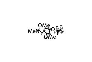 CNCCc1cc(OC)c(OCC(F)(F)C(F)F)cc1OC